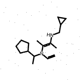 C=CN(/C(C)=C(\C)NCC1CC1)C(C)C1CCCC1